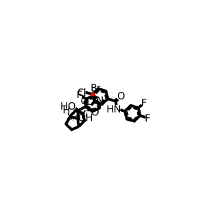 O=C(Nc1ccc(F)c(F)c1)c1ccc(Cl)c(S(=O)(=O)[C@@H]2CC3CC[C@@H](C2)[C@@]3(O)C(O)c2ccnc(Br)c2F)c1